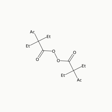 CCC(CC)(C(C)=O)C(=O)OOC(=O)C(CC)(CC)C(C)=O